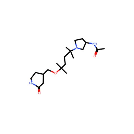 CC(=O)NC1CCN(C(C)(C)CCC(C)(C)OCC2CCNC(=O)C2)C1